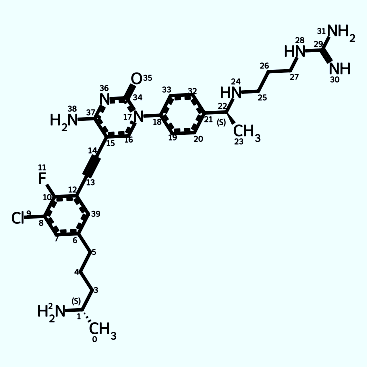 C[C@H](N)CCCc1cc(Cl)c(F)c(C#Cc2cn(-c3ccc([C@H](C)NCCCNC(=N)N)cc3)c(=O)nc2N)c1